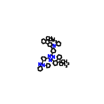 CC1(C)c2ccccc2-c2cc3c4cc(-c5nc(-c6cccc(-c7nc8ccccc8n7-c7ccccc7)c6)nc(-c6cccc7c6-c6ccccc6C7(C)C)n5)ccc4n(-c4ccccc4)c3cc21